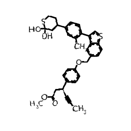 CC#C[C@@H](CC(=O)OC)c1ccc(OCc2ccc3scc(-c4ccc(C5CCSC(O)(O)C5)cc4C)c3c2)cc1